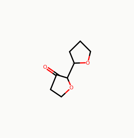 O=C1CCOC1[C]1CCCO1